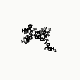 BC(C)OCCC(=O)N1CC(C)S(C)(C)[C@H]1C(=O)N[C@@H](C[C@@H]1CCNC1=O)C(=O)COC(B)(C)C